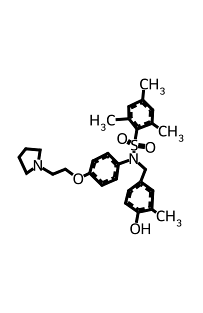 Cc1cc(C)c(S(=O)(=O)N(Cc2ccc(O)c(C)c2)c2ccc(OCCN3CCCC3)cc2)c(C)c1